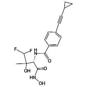 CC(O)(C(F)F)[C@H](NC(=O)c1ccc(C#CC2CC2)cc1)C(=O)NO